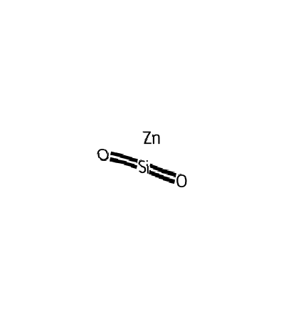 O=[Si]=O.[Zn]